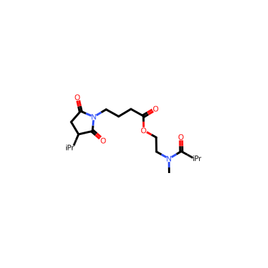 CC(C)C(=O)N(C)CCOC(=O)CCCN1C(=O)CC(C(C)C)C1=O